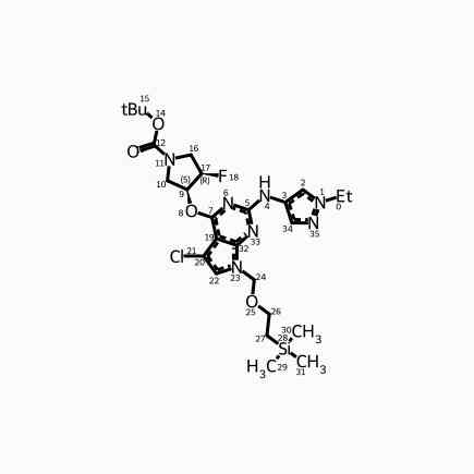 CCn1cc(Nc2nc(O[C@H]3CN(C(=O)OC(C)(C)C)C[C@H]3F)c3c(Cl)cn(COCC[Si](C)(C)C)c3n2)cn1